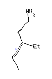 C/C=C(\CC)CCN